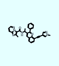 Cc1nc2cccnn2c1C(=O)NC(C)c1cc2cccc(C#Cc3cnn(C)c3)c2nc1-c1ccccc1